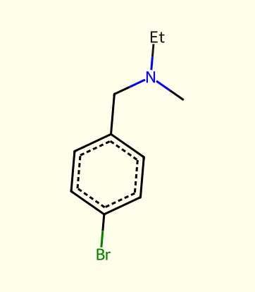 CCN(C)Cc1ccc(Br)cc1